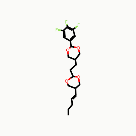 CCCC=CC1COC(CCC2COC(c3cc(F)c(F)c(F)c3)OC2)OC1